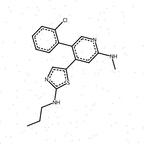 CCCNc1ncc(-c2cc(NC)ncc2-c2ccccc2Cl)s1